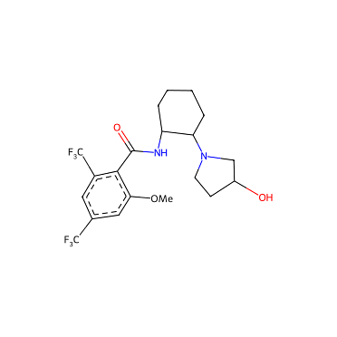 COc1cc(C(F)(F)F)cc(C(F)(F)F)c1C(=O)NC1CCCCC1N1CCC(O)C1